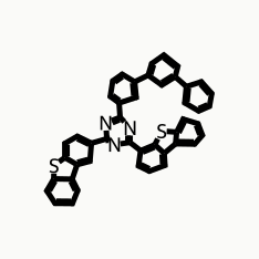 c1ccc(-c2cccc(-c3cccc(-c4nc(-c5ccc6sc7ccccc7c6c5)nc(-c5cccc6c5sc5ccccc56)n4)c3)c2)cc1